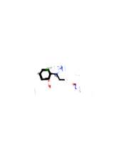 COc1ccccc1C(N)CCOC(N)=O.Cl